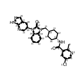 Cc1ncc(Cl)cc1C(=O)N[C@H]1CC[C@H](Cn2c(=O)n(-c3cnc4[nH]ncc4c3)c3ccccc32)CC1